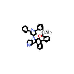 COC(=O)c1ccccc1-c1cc2c(c3ccccc13)c1cnccc1n2-c1cc(-c2ccccc2)nc(-c2ccccc2)c1